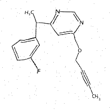 CC#CCOc1cc(C(C)c2cccc(F)c2)ncn1